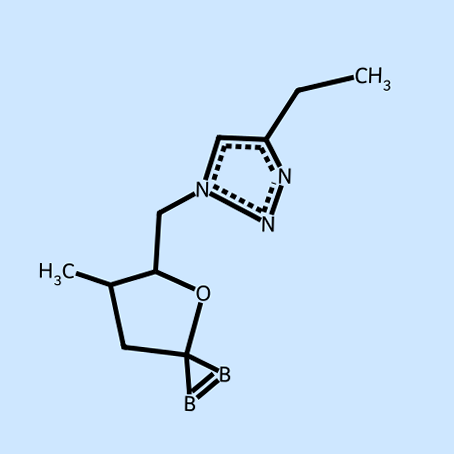 CCc1cn(CC2OC3(B=B3)CC2C)nn1